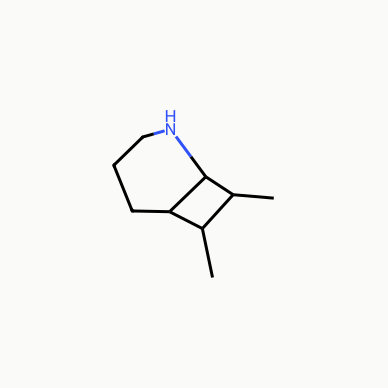 CC1C(C)C2NCCCC12